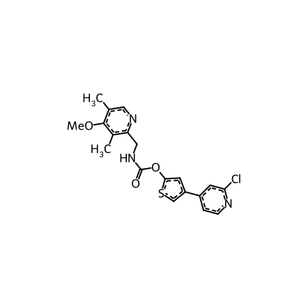 COc1c(C)cnc(CNC(=O)Oc2cc(-c3ccnc(Cl)c3)cs2)c1C